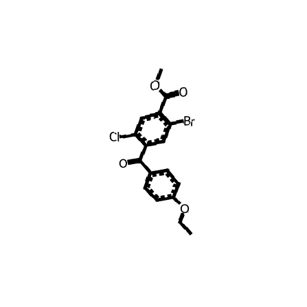 CCOc1ccc(C(=O)c2cc(Br)c(C(=O)OC)cc2Cl)cc1